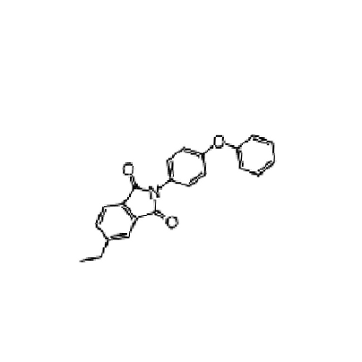 CCc1ccc2c(c1)C(=O)N(c1ccc(Oc3ccccc3)cc1)C2=O